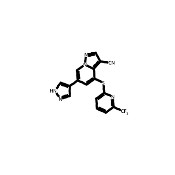 N#Cc1cnn2cc(-c3cn[nH]c3)cc(Sc3cccc(C(F)(F)F)n3)c12